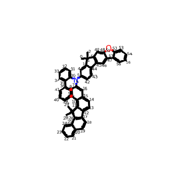 CC1(C)c2cc(N(c3ccc4c5c(ccc4c3)-c3ccc4ccccc4c3C5(C)C)c3ccccc3-c3ccccc3)ccc2-c2cc3c(cc21)oc1ccccc13